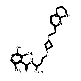 Cc1cnc(O)c(C)c1C(=O)N[C@@H](CCO[C@H]1C[C@@H](CCc2ccc3c(n2)NCCC3)C1)C(=O)O